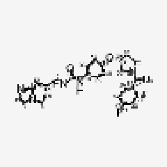 O=C(NCc1ccn2ccnc2c1)Nc1ccc(O[C@@H]2CCN(C(=O)c3ccc(F)cc3F)C2)cc1